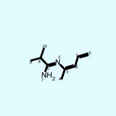 C=C/C=C(C)\N=C(/N)C(C)C